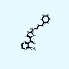 Cc1nccnc1C(=O)c1cnc(N[CH]CCC2CCCCC2)s1